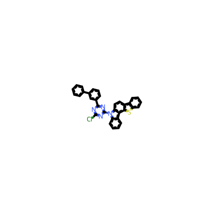 Clc1nc(-c2cccc(-c3ccccc3)c2)nc(-n2c3ccccc3c3c4sc5ccccc5c4ccc32)n1